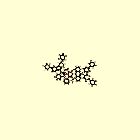 CC(C)c1cccc(-c2c3c(c(-n4c5ccc(-c6ccccc6)cc5c5cc(-c6ccccc6)ccc54)c4ccccc24)C=CCC3)c1-c1cc(-c2c3ccccc3c(-n3c4c(c5cc(-c6ccccc6)ccc53)CC(c3ccccc3)C=C4)c3ccccc23)ccc1S